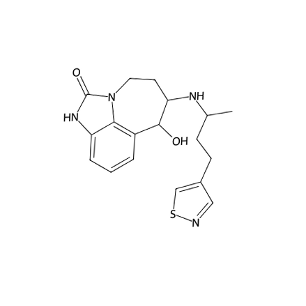 CC(CCc1cnsc1)NC1CCn2c(=O)[nH]c3cccc(c32)C1O